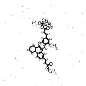 COC(=O)/C=C/c1cccc(N(Cc2ccc(/C=C/C(=O)OC(C)(C)C)cc2C)C(=O)C2CCCCC2)c1